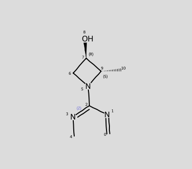 C=N/C(=N\C)N1C[C@@H](O)[C@@H]1C